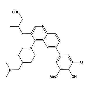 COc1cc(-c2ccc3ncc(CC(C)CC=O)c(N4CCC(CN(C)C)CC4)c3c2)cc(Cl)c1O